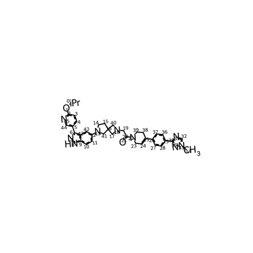 CC(C)Oc1ccc(-c2n[nH]c3ccc(N4CCC5(CN(CC(=O)N6CC=C(c7ccc(-c8ncn(C)n8)cc7)CC6)C5)C4)cc23)cn1